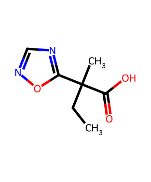 CCC(C)(C(=O)O)c1ncno1